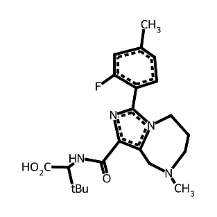 Cc1ccc(-c2nc(C(=O)NC(C(=O)O)C(C)(C)C)c3n2CCCN(C)C3)c(F)c1